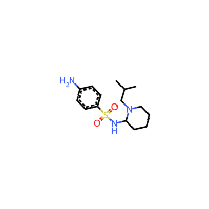 CC(C)CN1CCCCC1NS(=O)(=O)c1ccc(N)cc1